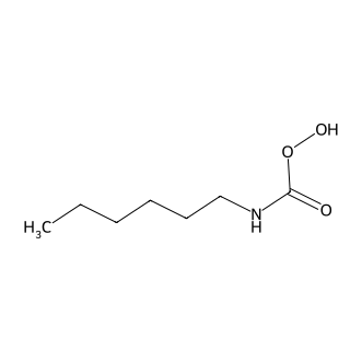 CCCCCCNC(=O)OO